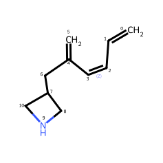 C=C/C=C\C(=C)CC1CNC1